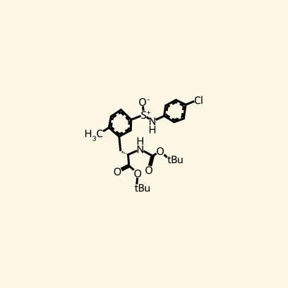 Cc1ccc([S+]([O-])Nc2ccc(Cl)cc2)cc1C[C@H](NC(=O)OC(C)(C)C)C(=O)OC(C)(C)C